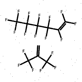 C=C(C(F)(F)F)C(F)(F)F.FC(F)=C(F)C(F)(F)C(F)(F)C(F)(F)C(F)(F)F